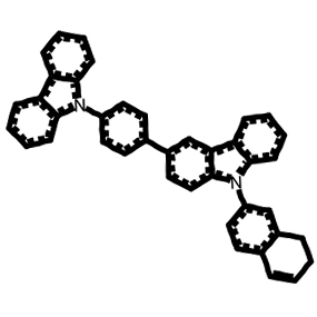 C1=Cc2ccc(-n3c4ccccc4c4cc(-c5ccc(-n6c7ccccc7c7ccccc76)cc5)ccc43)cc2CC1